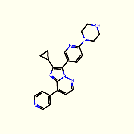 c1cc(-c2ccnn3c(-c4ccc(N5CCNCC5)nc4)c(C4CC4)nc23)ccn1